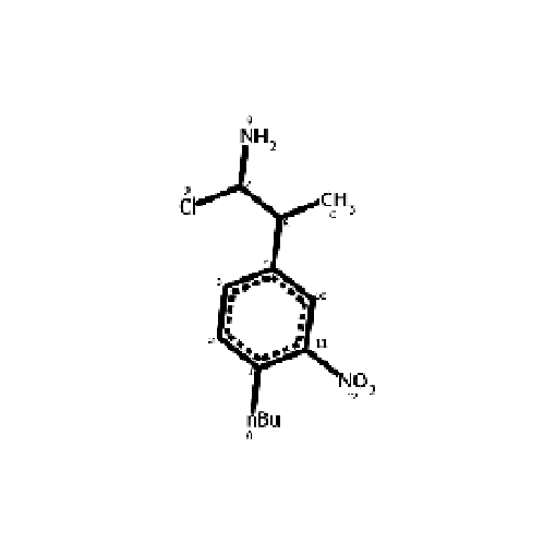 CCCCc1ccc(C(C)C(N)Cl)cc1[N+](=O)[O-]